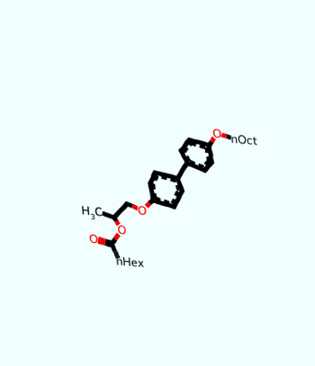 CCCCCCCCOc1ccc(-c2ccc(OCC(C)OC(=O)CCCCCC)cc2)cc1